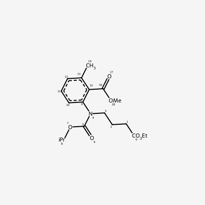 CCOC(=O)CCCN(C(=O)OC(C)C)c1cccc(C)c1C(=O)OC